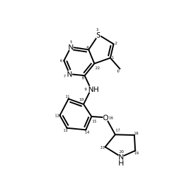 Cc1csc2ncnc(Nc3ccccc3OC3CCNC3)c12